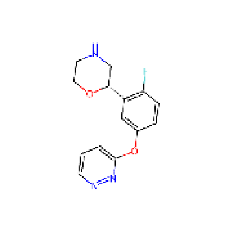 Fc1ccc(Oc2cccnn2)cc1[C@H]1CNCCO1